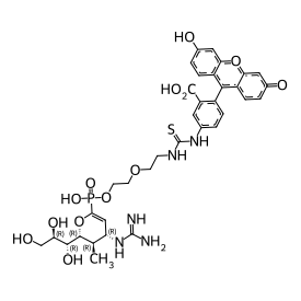 C[C@H]1[C@H]([C@H](O)[C@H](O)CO)OC(P(=O)(O)OCCOCCNC(=S)Nc2ccc(-c3c4ccc(=O)cc-4oc4cc(O)ccc34)c(C(=O)O)c2)=C[C@@H]1NC(=N)N